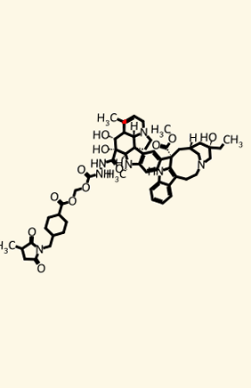 CC[C@]1(O)C[C@@H]2CN(CCc3c([nH]c4ccccc34)[C@@](C(=O)OC)(c3ccc4c(c3)[C@@]35CCN6CC=C[C@@](CC)([C@@H](O)[C@](O)(C(=O)NNC(=O)OCOC(=O)C7CCC(CN8C(=O)CC(C)C8=O)CC7)[C@@H]3N4C)[C@H]65)C2)C1